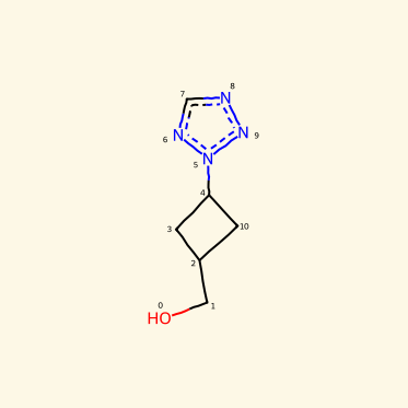 OCC1CC(n2ncnn2)C1